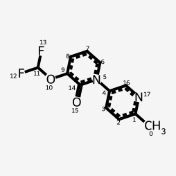 Cc1ccc(-n2cccc(OC(F)F)c2=O)cn1